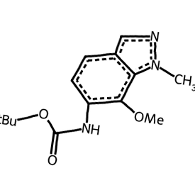 COc1c(NC(=O)OC(C)(C)C)ccc2cnn(C)c12